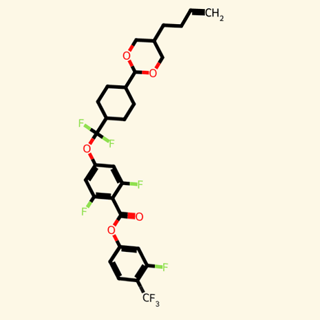 C=CCCC1COC(C2CCC(C(F)(F)Oc3cc(F)c(C(=O)Oc4ccc(C(F)(F)F)c(F)c4)c(F)c3)CC2)OC1